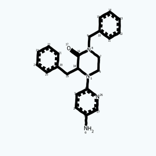 Nc1ccc(N2CCN(Cc3ccccc3)C(=O)C2Cc2ccccc2)nc1